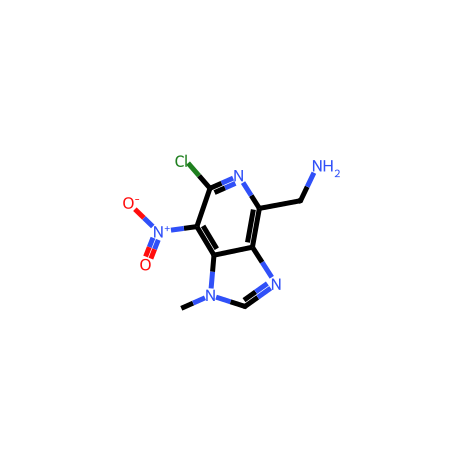 Cn1cnc2c(CN)nc(Cl)c([N+](=O)[O-])c21